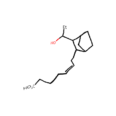 CCC(O)C1C2CCC(C2)C1C/C=C\CCCC(=O)O